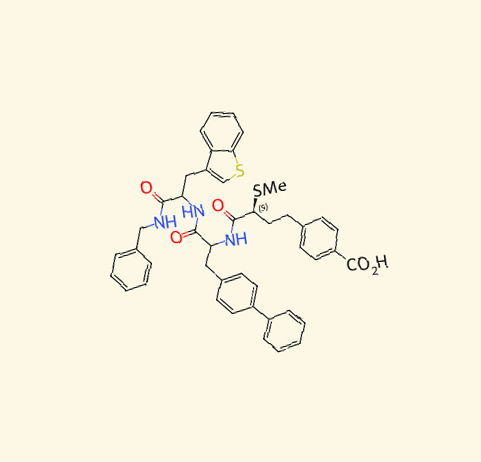 CS[C@@H](CCc1ccc(C(=O)O)cc1)C(=O)NC(Cc1ccc(-c2ccccc2)cc1)C(=O)NC(Cc1csc2ccccc12)C(=O)NCc1ccccc1